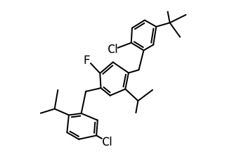 CC(C)c1ccc(Cl)cc1Cc1cc(C(C)C)c(Cc2cc(C(C)(C)C)ccc2Cl)cc1F